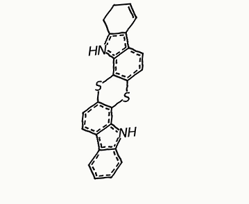 C1=Cc2c([nH]c3c4c(ccc23)Sc2c(ccc3c2[nH]c2ccccc23)S4)CC1